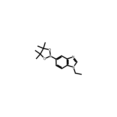 CCn1cnc2cc(B3OC(C)(C)C(C)(C)O3)ccc21